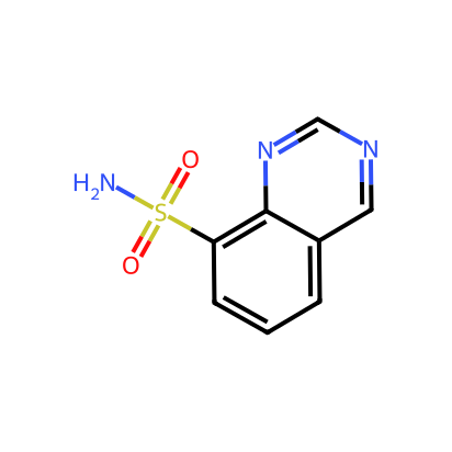 NS(=O)(=O)c1cccc2cncnc12